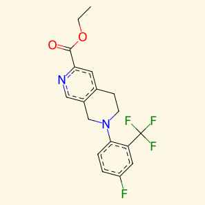 CCOC(=O)c1cc2c(cn1)CN(c1ccc(F)cc1C(F)(F)F)CC2